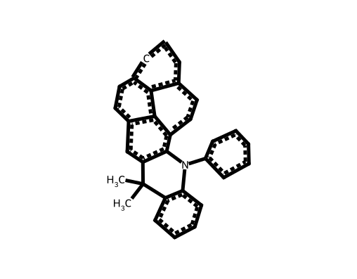 CC1(C)c2ccccc2N(c2ccccc2)c2c1cc1ccc3cccc4ccc2c1c34